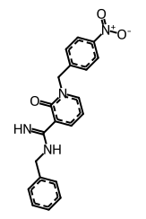 N=C(NCc1ccccc1)c1cccn(Cc2ccc([N+](=O)[O-])cc2)c1=O